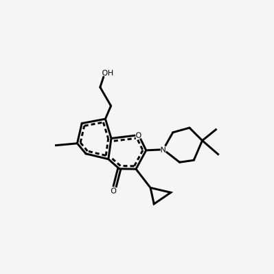 Cc1cc(CCO)c2oc(N3CCC(C)(C)CC3)c(C3CC3)c(=O)c2c1